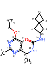 Cc1nc(OCC(F)(F)F)cc([C@@H](C)NC(=O)NC2CC3(CCC3)C2)n1